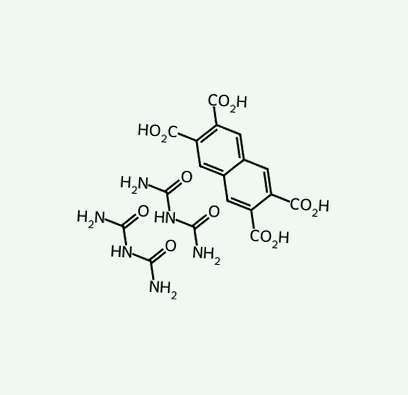 NC(=O)NC(N)=O.NC(=O)NC(N)=O.O=C(O)c1cc2cc(C(=O)O)c(C(=O)O)cc2cc1C(=O)O